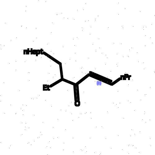 CCC/C=C/C(=O)C(CC)CCCCCCCC